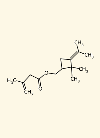 C=C(C)CC(=O)OCC1CC(=C(C)C)C1(C)C